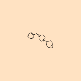 c1ccc(CN2CCN(C3CCOCC3)CC2)cc1